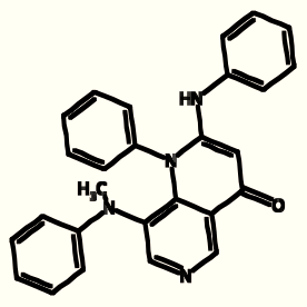 CN(c1ccccc1)c1cncc2c(=O)cc(Nc3ccccc3)n(-c3ccccc3)c12